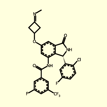 CN=C1CC(Oc2cc(NC(=O)c3cc(F)cc(C(F)(F)F)c3)c3c(c2)C(=O)N[C@@H]3c2cc(F)ccc2Cl)C1